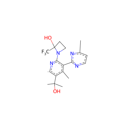 Cc1ccnc(-c2c(N3CCC3(O)C(F)(F)F)n[c]c(C(C)(C)O)c2C)n1